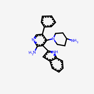 Nc1ncc(-c2ccccc2)c(N2CCC(N)CC2)c1-c1cc2ccccc2[nH]1